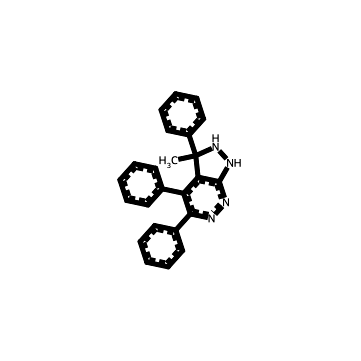 CC1(c2ccccc2)NNc2nnc(-c3ccccc3)c(-c3ccccc3)c21